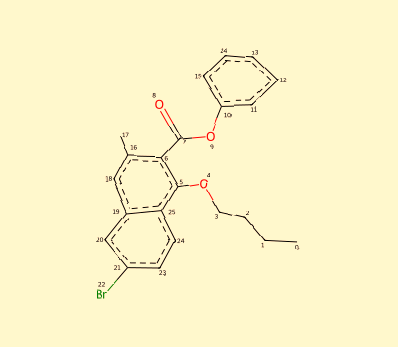 CCCCOc1c(C(=O)Oc2ccccc2)c(C)cc2cc(Br)ccc12